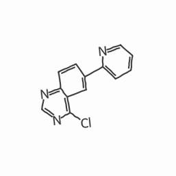 Clc1ncnc2ccc(-c3ccccn3)cc12